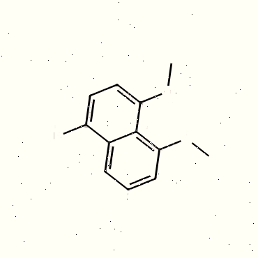 COc1cccc2c(S)ccc(OC)c12